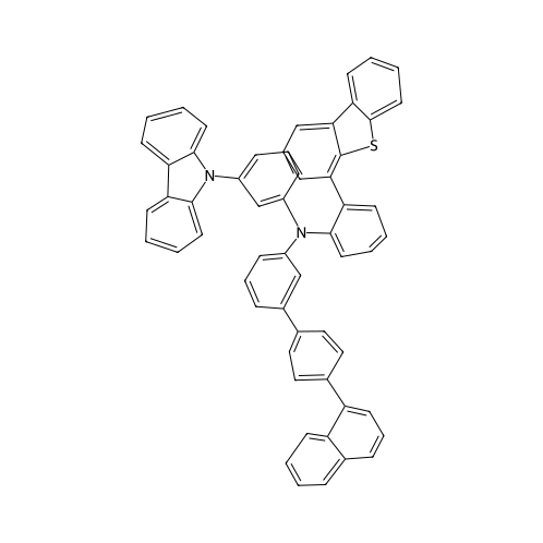 c1cc(-c2ccc(-c3cccc4ccccc34)cc2)cc(N(c2cccc(-n3c4ccccc4c4ccccc43)c2)c2ccccc2-c2cccc3c2sc2ccccc23)c1